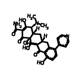 CN(C)[C@@H]1C(O)=C(C(N)=O)C(=O)[C@@]2(O)C(O)=C3C(=O)c4c(O)ccc(-c5ccncc5)c4C[C@H]3C[C@@H]12